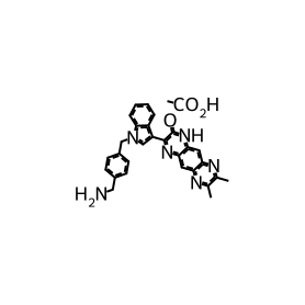 CC(=O)O.Cc1nc2cc3nc(-c4cn(Cc5ccc(CN)cc5)c5ccccc45)c(=O)[nH]c3cc2nc1C